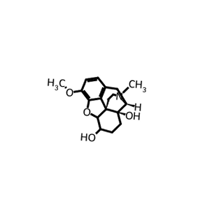 COc1ccc2c3c1OC1C(O)CC[C@@]4(O)[C@@H](C2)N(C)CC[C@]314